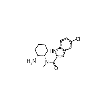 CN(C(=O)c1cc2cc(Cl)ccc2[nH]1)[C@H]1CCCC[C@H]1N